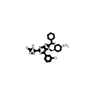 C[C@H]1CC[C@H](Cn2c(C(F)C3CCCCC3)nc3nc(-c4noc(=O)[nH]4)nc(-c4cccc(Cl)c4)c32)CC1